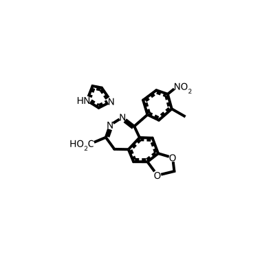 Cc1cc(C2=NN=C(C(=O)O)Cc3cc4c(cc32)OCO4)ccc1[N+](=O)[O-].c1c[nH]cn1